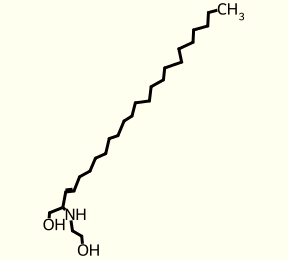 CCCCCCCCCCCCCCCCCCCC/C=C/C(CO)NCCO